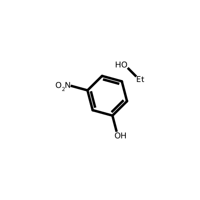 CCO.O=[N+]([O-])c1cccc(O)c1